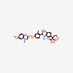 COc1ccc2c(c1)N(C)C[C@@H](COc1ccc(C(=O)Nc3cc(C4(C(=O)O)CCOCC4)ccc3Cl)c(C)c1)O2